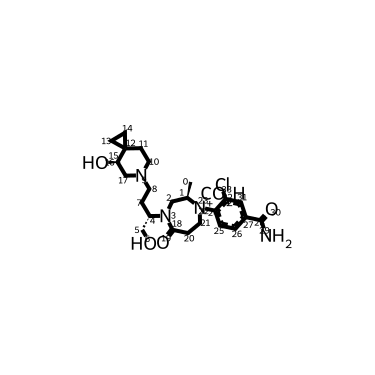 C[C@@H]1CN([C@H](CO)CCN2CCC3(CC3)[C@H](O)C2)C(=O)CC[N+]1(C(=O)O)c1ccc(C(N)=O)cc1Cl